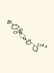 Cc1ccccc1Cc1csc(N2CCN(S(=O)(=O)c3ccc(Br)cc3)CC2)n1